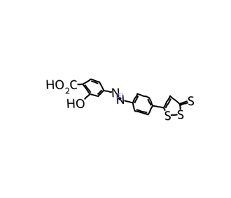 O=C(O)c1ccc(/N=N/c2ccc(-c3cc(=S)ss3)cc2)cc1O